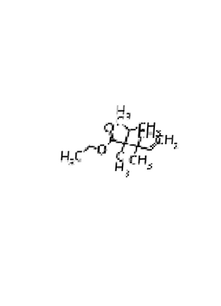 C=CC(C)(C)C(C)(C(=O)OCC)C(C)C